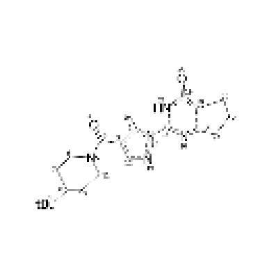 Cc1c(C(=O)N2CCC(C(C)(C)C)CC2)cnn1-c1nc2c(c(=O)[nH]1)CCC2